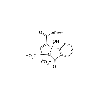 CCCCCC(=O)C1=CC(C(=O)O)(C(=O)O)N2C(=O)c3ccccc3C12O